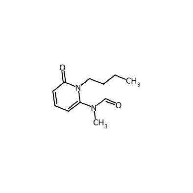 CCCCn1c(N(C)C=O)cccc1=O